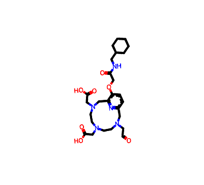 O=CCN1CCN(CC(=O)O)CCN(CC(=O)O)Cc2nc(ccc2OCC(=O)NCC2CCCCC2)C1